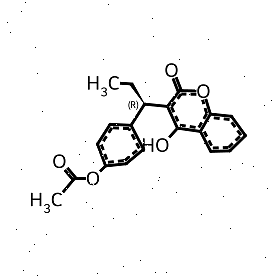 CC[C@H](c1ccc(OC(C)=O)cc1)c1c(O)c2ccccc2oc1=O